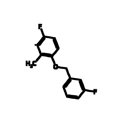 Cc1[c]c(F)ccc1OCc1cccc(F)c1